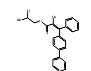 CCCCC(CC)COC(=O)/C(C#N)=C(/c1ccccc1)c1ccc(-c2ccccc2)cc1